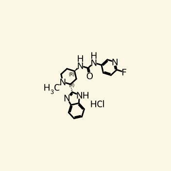 CN1CC[C@@H](NC(=O)Nc2ccc(F)nc2)C[C@@H]1c1nc2ccccc2[nH]1.Cl